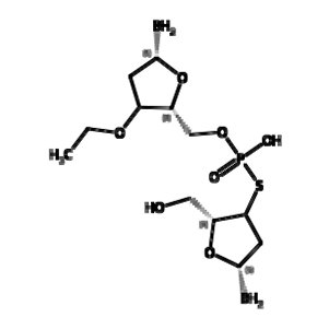 B[C@H]1CC(OCC)[C@@H](COP(=O)(O)SC2C[C@H](B)O[C@@H]2CO)O1